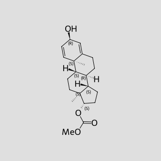 COC(=O)O[C@H]1CC[C@H]2[C@@H]3CCC4=C[C@H](O)C=C[C@]4(C)[C@H]3CC[C@]12C